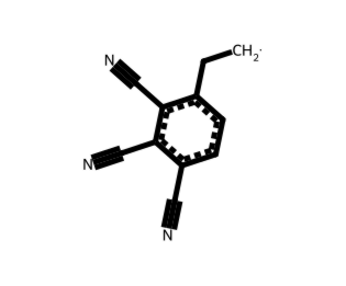 [CH2]Cc1ccc(C#N)c(C#N)c1C#N